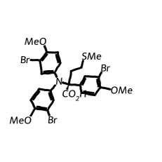 COc1ccc(N(c2ccc(OC)c(Br)c2)[C@@](CCSC)(C(=O)O)c2ccc(OC)c(Br)c2)cc1Br